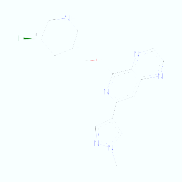 Cn1cc(-c2cc3nccnc3c(OC[C@H]3CNC[C@H](F)C3)n2)cn1